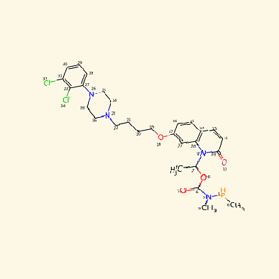 CPN(C)C(=O)OC(C)n1c(=O)ccc2ccc(OCCCCN3CCN(c4cccc(Cl)c4Cl)CC3)cc21